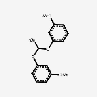 CCCCC(Oc1cccc(OC)c1)Oc1cccc(OC)c1